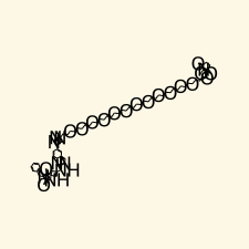 O=C(CCOCCOCCOCCOCCOCCOCCOCCOCCOCCOCCOCCOCCn1cc(-c2ccc3nc(NC4CC5(C4)NC(=O)N(Cc4ccccc4)C5=O)ncc3c2)nn1)ON1C(=O)CCC1=O